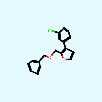 Clc1cccc(-c2ccoc2[CH]OCc2ccccc2)c1